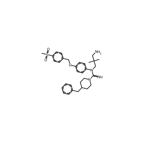 CC(C)(CN)CN(C(=N)N1CCC(Cc2ccccc2)CC1)c1ccc(OCc2ccc(S(C)(=O)=O)cc2)cc1